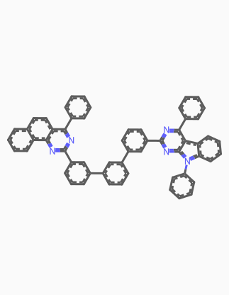 c1ccc(-c2nc(-c3cccc(-c4cccc(-c5cccc(-c6nc(-c7ccccc7)c7c8ccccc8n(-c8ccccc8)c7n6)c5)c4)c3)nc3c2ccc2ccccc23)cc1